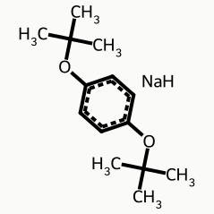 CC(C)(C)Oc1ccc(OC(C)(C)C)cc1.[NaH]